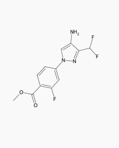 COC(=O)c1ccc(-n2cc(N)c(C(F)F)n2)cc1F